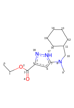 CCOC(=O)c1cc(N(C)CC2CCCCC2)[nH]n1